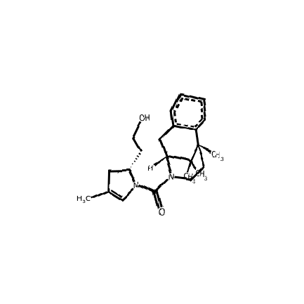 CC1=CN(C(=O)N2CC[C@@]3(C)c4ccccc4C[C@@H]2C3(C)C)[C@@H](CCO)C1